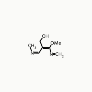 C=N/C(OC)=C(\C=N/C)CO